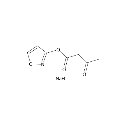 CC(=O)CC(=O)Oc1ccon1.[NaH]